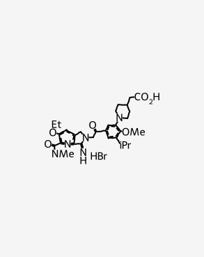 Br.CCOc1cc2c(nc1C(=O)NC)C(=N)N(CC(=O)c1cc(C(C)C)c(OC)c(N3CCC(CC(=O)O)CC3)c1)C2